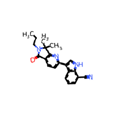 CCCN1C(=O)c2ccc(-c3c[nH]c4c(C#N)cccc34)nc2C1(C)C